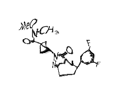 CON(C)C(=O)C12CC(n3nc4n(c3=O)C(c3cc(F)cc(F)c3)CC4)(C1)C2